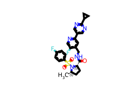 C[C@H]1CC[C@@H](C(=O)NCc2cc(-c3cnc(C4CC4)nc3)ncc2F)N1S(=O)(=O)c1ccc(F)cc1